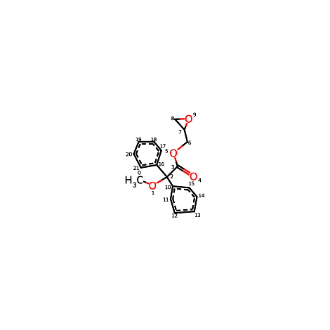 COC(C(=O)OCC1CO1)(c1ccccc1)c1ccccc1